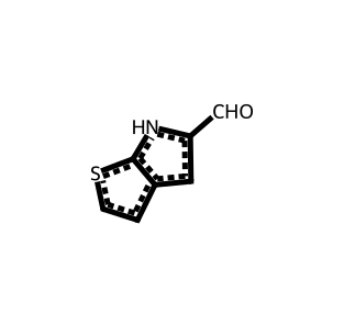 O=Cc1cc2ccsc2[nH]1